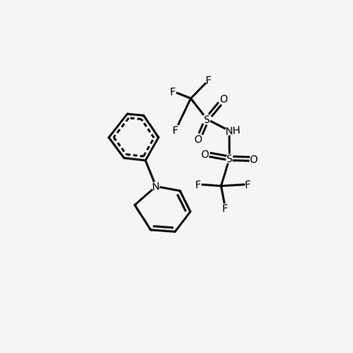 C1=CCN(c2ccccc2)C=C1.O=S(=O)(NS(=O)(=O)C(F)(F)F)C(F)(F)F